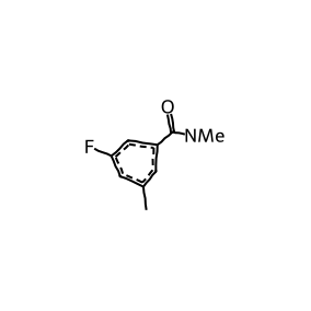 CNC(=O)c1cc(C)cc(F)c1